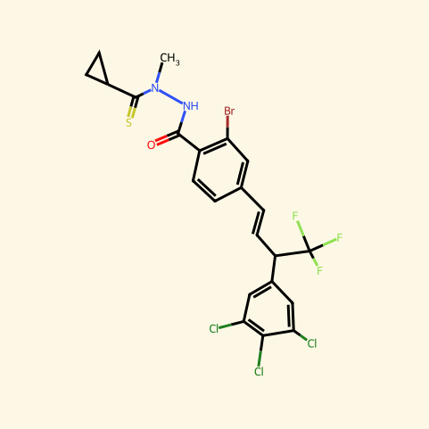 CN(NC(=O)c1ccc(/C=C/C(c2cc(Cl)c(Cl)c(Cl)c2)C(F)(F)F)cc1Br)C(=S)C1CC1